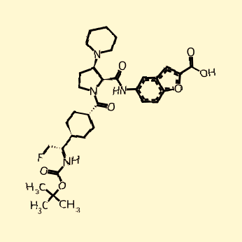 CC(C)(C)OC(=O)N[C@H](CF)[C@H]1CC[C@H](C(=O)N2CC[C@@H](N3CCCCC3)[C@H]2C(=O)Nc2ccc3oc(C(=O)O)cc3c2)CC1